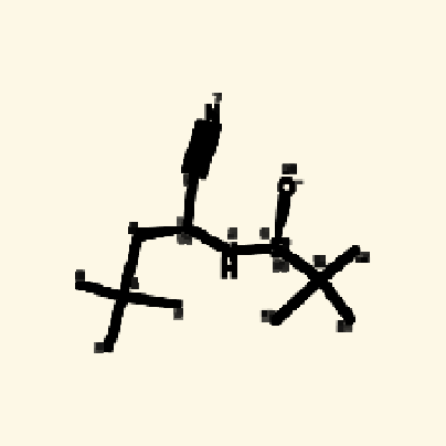 CC(C)(C)C[C@@H](C#N)N[S@@+]([O-])C(C)(C)C